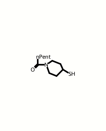 CCCCCC(=O)N1CCC(S)CC1